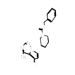 Nc1ncnn2c([C@H]3CCCN(C(=O)OCc4ccccc4)C3)cc(Br)c12